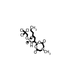 CCC/C=C/C(NS(=O)(=O)OCC(Cl)(Cl)Cl)B1OC(=O)CN(C)CC(=O)O1